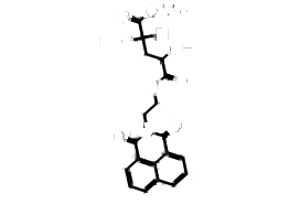 CCC(C)(CC(C)C(=O)OCCN1C(=O)c2cccc3cccc(c23)C1=O)C(=O)OC